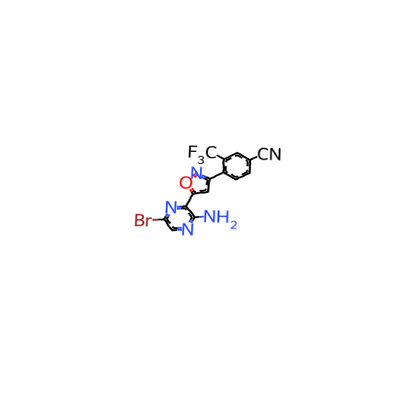 N#Cc1ccc(-c2cc(-c3nc(Br)cnc3N)on2)c(C(F)(F)F)c1